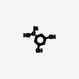 CCOO.Oc1cccc(O)c1